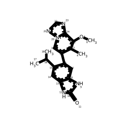 COc1c(C)c(-c2cc3[nH]c(=O)[nH]c3cc2C(C)C)cn2ncnc12